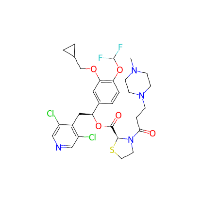 CN1CCN(CCC(=O)N2CCS[C@H]2C(=O)O[C@@H](Cc2c(Cl)cncc2Cl)c2ccc(OC(F)F)c(OCC3CC3)c2)CC1